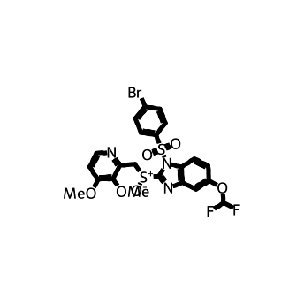 COc1ccnc(C[S+]([O-])c2nc3cc(OC(F)F)ccc3n2S(=O)(=O)c2ccc(Br)cc2)c1OC